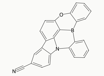 N#Cc1ccc2c(c1)c1ccc3c4c1n2-c1ccccc1B4c1ccccc1O3